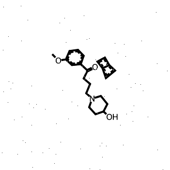 COc1cccc(C(=O)CCCN2CCC(O)CC2)c1.c1cc2ccc1-2